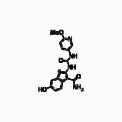 COc1ccc(NC(=O)Nc2sc3cc(O)ccc3c2C(N)=O)cn1